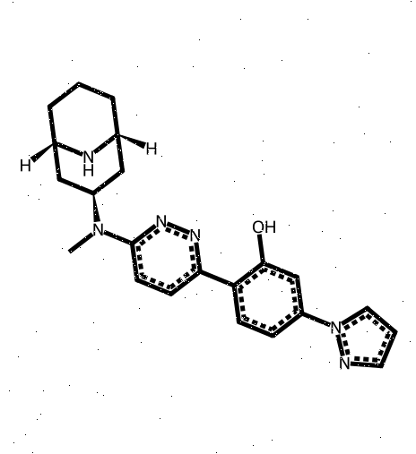 CN(c1ccc(-c2ccc(-n3cccn3)cc2O)nn1)[C@@H]1C[C@H]2CCC[C@@H](C1)N2